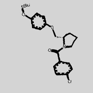 CC(C)(C)Oc1ccc(OC[C@@H]2CCCN2C(=O)c2ccc(Cl)cc2)cc1